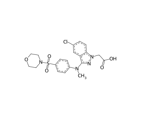 CN(c1ccc(S(=O)(=O)N2CCOCC2)cc1)c1nn(CC(=O)O)c2ccc(Cl)cc12